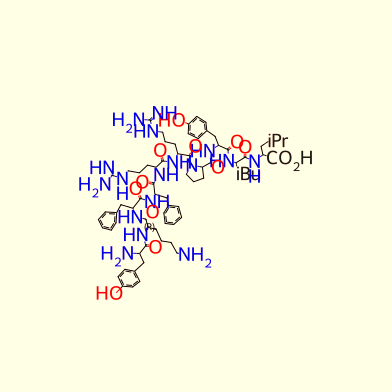 CCC(C)C(NC(=O)C(Cc1ccc(O)cc1)NC(=O)C1CCCN1C(=O)C(CCCNC(=N)N)NC(=O)C(CCCNC(=N)N)NC(=O)C(Cc1ccccc1)NC(=O)C(Cc1ccccc1)NC(=O)[C@@H](CCCCN)NC(=O)C(N)Cc1ccc(O)cc1)C(=O)NC(CC(C)C)C(=O)O